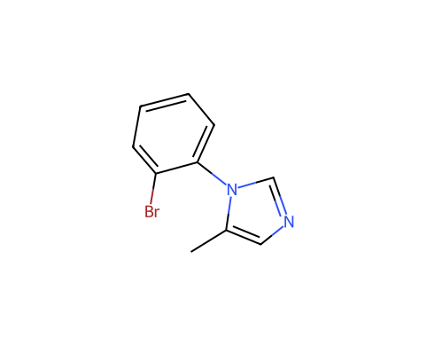 Cc1cncn1-c1ccccc1Br